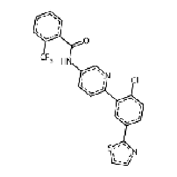 O=C(Nc1ccc(-c2cc(-c3nccs3)ccc2Cl)nc1)c1ccccc1C(F)(F)F